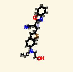 CN(CCO)c1ccc2cc(/C=C(\C#N)c3nc4ccccc4o3)sc2c1